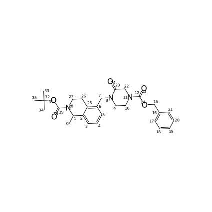 CC1c2cccc(CN3CCN(C(=O)OCc4ccccc4)CC3=O)c2CCN1C(=O)OC(C)(C)C